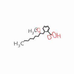 CCCCCCCC(Cc1ccccc1C(=O)O)OC